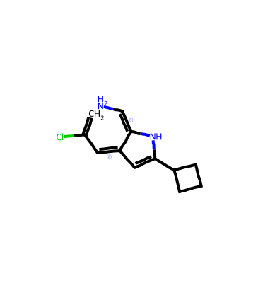 C=C(Cl)/C=c1/cc(C2CCC2)[nH]/c1=C/N